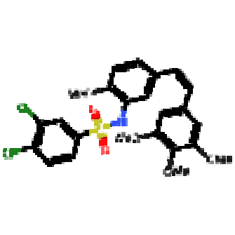 COc1ccc(/C=C\c2cc(OC)c(OC)c(OC)c2)cc1NS(=O)(=O)c1ccc(Cl)c(Cl)c1